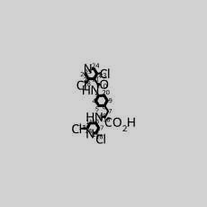 O=C(Nc1ccc(CC(Nc2cc(Cl)nc(Cl)c2)C(=O)O)cc1)c1c(Cl)cncc1Cl